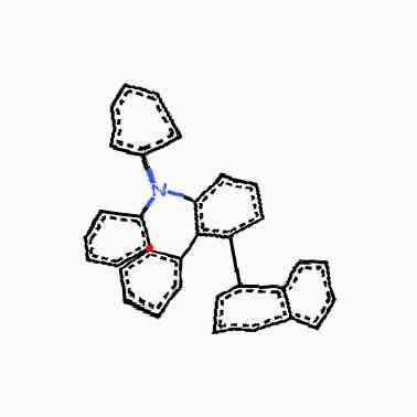 c1ccc(-c2c(-c3cccc4ccccc34)cccc2N(c2ccccc2)c2ccccc2)cc1